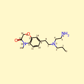 CCCN(CCN)CCc1ccc2c(c1)OCC(=O)N2C